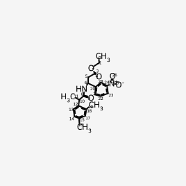 CCOC(=O)CC(NC(=O)C(C)c1ccc(C)cc1C)c1cccc([N+](=O)[O-])c1